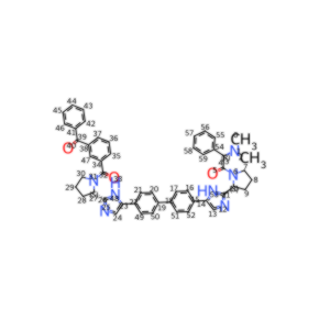 CN(C)[C@@H](C(=O)N1CCC[C@H]1c1ncc(-c2ccc(-c3ccc(-c4cnc([C@@H]5CCCN5C(=O)c5cccc(C(=O)c6ccccc6)c5)[nH]4)cc3)cc2)[nH]1)c1ccccc1